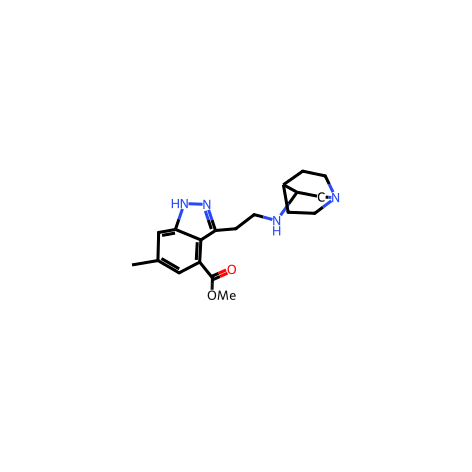 COC(=O)c1cc(C)cc2[nH]nc(CCNC3CN4CCC3CC4)c12